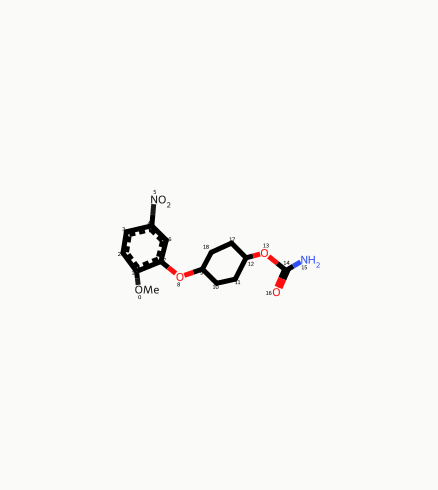 COc1ccc([N+](=O)[O-])cc1OC1CCC(OC(N)=O)CC1